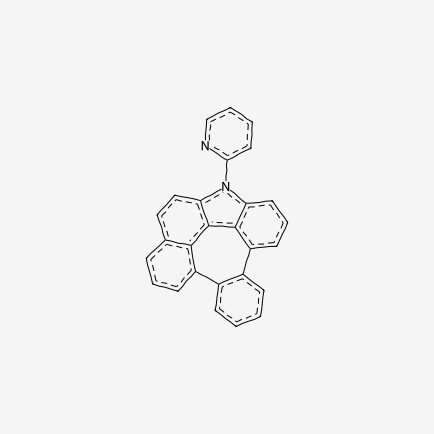 c1ccc(-n2c3cccc4c3c3c5c(cccc5ccc32)-c2ccccc2-4)nc1